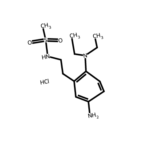 CCN(CC)c1ccc(N)cc1CCNS(C)(=O)=O.Cl